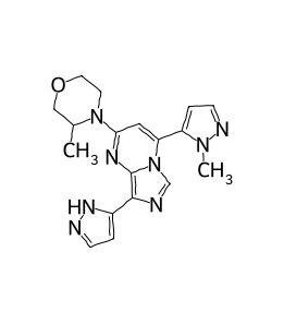 CC1COCCN1c1cc(-c2ccnn2C)n2cnc(-c3ccn[nH]3)c2n1